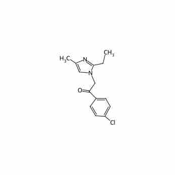 CCc1nc(C)cn1CC(=O)c1ccc(Cl)cc1